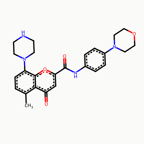 Cc1ccc(N2CCNCC2)c2oc(C(=O)Nc3ccc(N4CCOCC4)cc3)cc(=O)c12